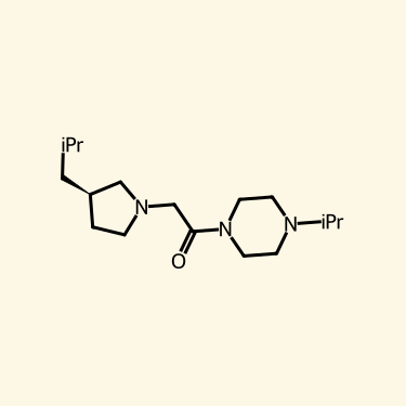 CC(C)C[C@@H]1CCN(CC(=O)N2CCN(C(C)C)CC2)C1